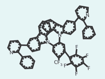 Fc1c(F)c(F)c(-c2cc(-n3c4ccccc4c4cc(-c5cccnc5-c5ccccc5)ccc43)c(-n3c4ccccc4c4cc(-c5cccnc5-c5ccccc5)ccc43)cc2C(F)(F)F)c(F)c1F